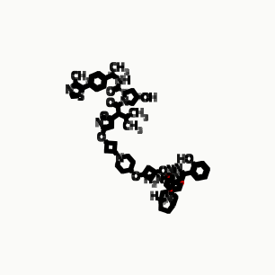 Cc1ncsc1-c1ccc([C@H](C)NC(=O)[C@@H]2C[C@@H](O)CN2C(=O)C(c2cc(OC3CC(N4CCC(OC5CC(Oc6cc(N7C8CC[C@@H]7CN(c7cc(-c9ccccc9O)nnc7N)C8)ccn6)C5)CC4)C3)no2)C(C)C)cc1